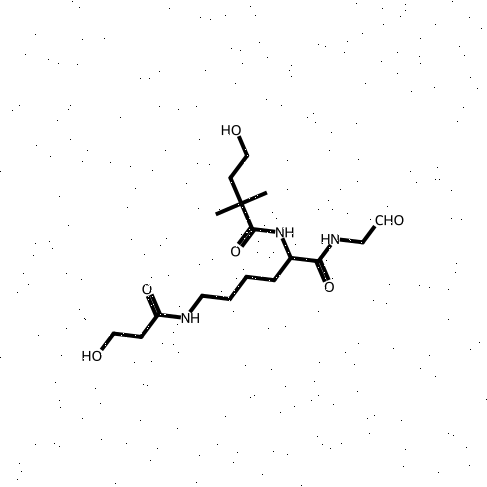 CC(C)(CCO)C(=O)NC(CCCCNC(=O)CCO)C(=O)NCC=O